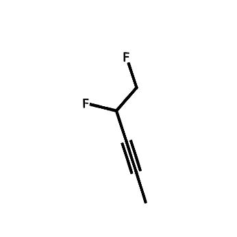 CC#CC(F)CF